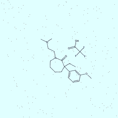 CCC1(c2cccc(OC)c2)CCCCN(CCN(C)C)C1=O.O=C(O)C(F)(F)F